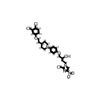 O=[N+]([O-])c1cn(CCC(O)COc2ccc(N3CCC(CCOc4ccc(Cl)c(Cl)c4)CC3)cc2)c(Cl)n1